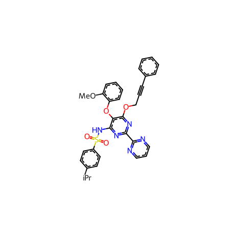 COc1ccccc1Oc1c(NS(=O)(=O)c2ccc(C(C)C)cc2)nc(-c2ncccn2)nc1OCC#Cc1ccccc1